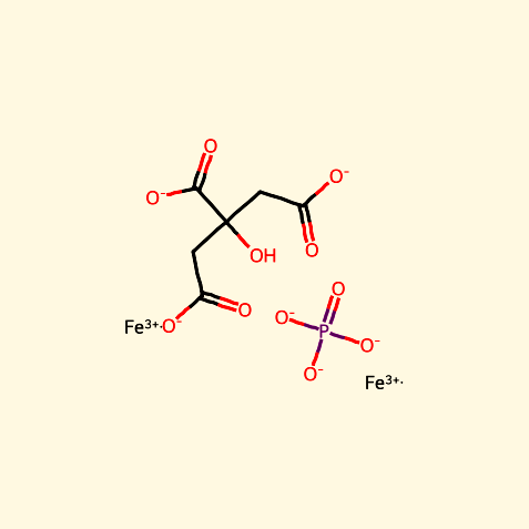 O=C([O-])CC(O)(CC(=O)[O-])C(=O)[O-].O=P([O-])([O-])[O-].[Fe+3].[Fe+3]